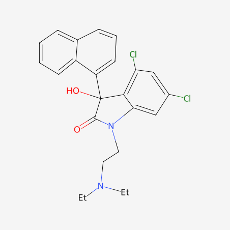 CCN(CC)CCN1C(=O)C(O)(c2cccc3ccccc23)c2c(Cl)cc(Cl)cc21